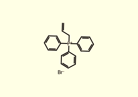 C=CC[P+](c1ccccc1)(c1ccccc1)c1ccccc1.[Br-]